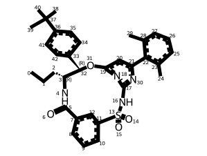 CCC[C@H]1NC(=O)c2cccc(c2)S(=O)(=O)Nc2nc(cc(-c3c(C)cccc3C)n2)O[C@@H]1c1ccc(C(C)(C)C)cc1